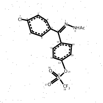 CC(=O)NN=C(c1ccc(Cl)cc1)c1ccc(OS(=O)(=O)C(F)(F)F)cc1